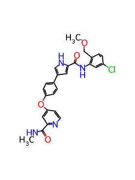 CNC(=O)c1cc(Oc2ccc(-c3c[nH]c(C(=O)Nc4cc(Cl)ccc4COC)c3)cc2)ccn1